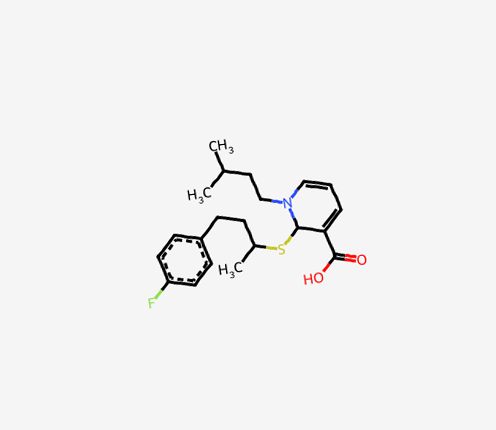 CC(C)CCN1C=CC=C(C(=O)O)C1SC(C)CCc1ccc(F)cc1